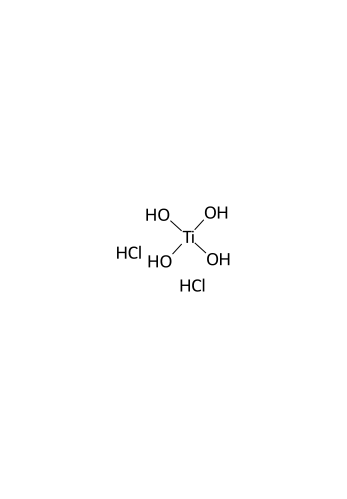 Cl.Cl.[OH][Ti]([OH])([OH])[OH]